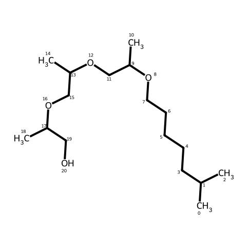 CC(C)CCCCCOC(C)COC(C)COC(C)CO